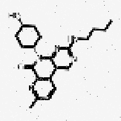 CCCCNc1ncc2c3ccc(C)nc3c(=O)n([C@H]3CC[C@H](O)CC3)c2n1